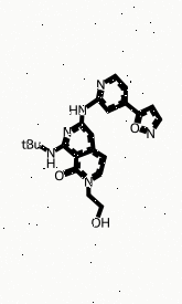 CC(C)(C)Nc1nc(Nc2cc(-c3ccno3)ccn2)cc2ccn(CCO)c(=O)c12